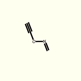 C#CON=C